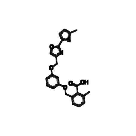 Cc1ccc(-c2nc(COc3cccc(OCc4cccc(C)c4C(=O)O)c3)co2)s1